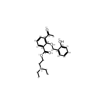 CCN(CC)CCOC(=O)c1cccc(C(C)=O)c1OCc1ccccc1O